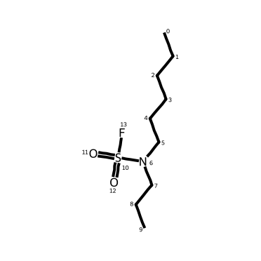 CCCCCCN(CCC)S(=O)(=O)F